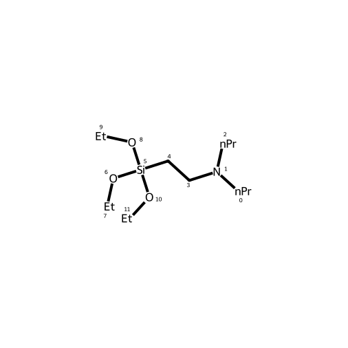 CCCN(CCC)CC[Si](OCC)(OCC)OCC